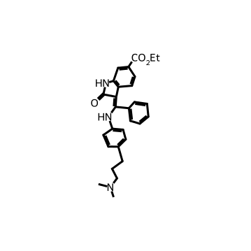 CCOC(=O)c1ccc2c(c1)NC(=O)/C2=C(\Nc1ccc(CCCN(C)C)cc1)c1ccccc1